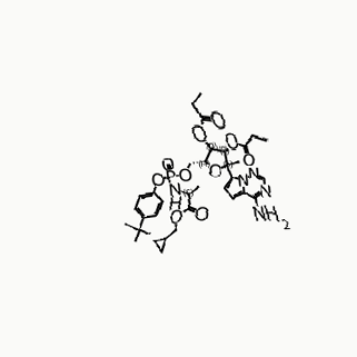 CCC(=O)O[C@H]1[C@@H](OC(=O)CC)[C@](C)(c2ccc3c(N)ncnn23)O[C@@H]1COP(=O)(N[C@@H](C)C(=O)OCC1CC1)Oc1ccc(C(C)(C)C)cc1